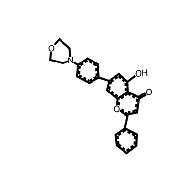 O=c1cc(-c2ccccc2)oc2cc(-c3ccc(N4CCOCC4)cc3)cc(O)c12